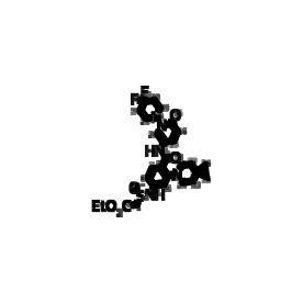 CCOC(=O)C[S+]([O-])Nc1ccc(C(=O)Nc2ccc(=O)n(N3CCC(F)(F)CC3)c2)c(N2CCC3(CC2)CC3)c1